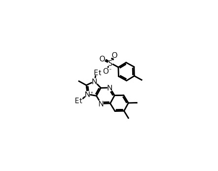 CCn1c(C)[n+](CC)c2nc3cc(C)c(C)cc3nc21.Cc1ccc(S(=O)(=O)[O-])cc1